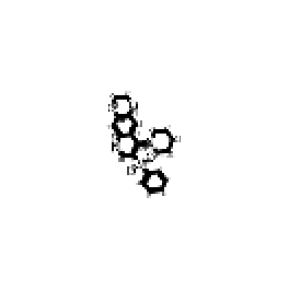 O=S(=O)(c1ccccc1)c1cnc2cc3c(cc2c1N1CCCCC1)OCCO3